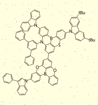 CC(C)(C)c1ccc2c(c1)c1cc(C(C)(C)C)ccc1n2-c1ccc2c(c1)Sc1cc(-c3cc4c5c(c3)Oc3cc(-n6cc(-c7ccccc7)c7ccccc76)ccc3B5c3ccccc3O4)cc3c1B2c1ccc(-n2c4ccccc4c4ccccc42)cc1N3c1cc(-c2ccccc2)cc(-c2ccccc2)c1